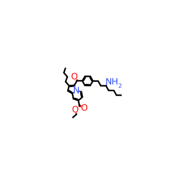 CCCCc1cc2cc(C(=O)OCC)ccn2c1C(=O)c1ccc(CCC(N)CCCC)cc1